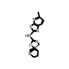 Cc1ccc2nc(NC3=NC[C@@]4(CN5CCC4CC5)O3)sc2n1